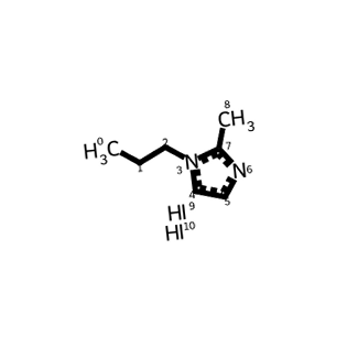 CCCn1ccnc1C.I.I